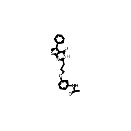 CC(=O)Nc1cccc(OCCCc2nc3scc(-c4ccccc4)c3c(=O)[nH]2)c1